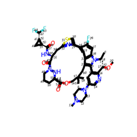 CCn1c(-c2cc(N3CCN(C)CC3)cnc2[C@H](C)OC)c2c3cc(c(F)cc31)-c1csc(n1)C[C@H](NC(=O)[C@H]1C[C@@H]1C(F)F)C(=O)N1CCC[C@H](N1)C(=O)OCC(C)(C)C2